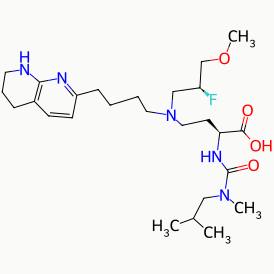 COC[C@@H](F)CN(CCCCc1ccc2c(n1)NCCC2)CC[C@H](NC(=O)N(C)CC(C)C)C(=O)O